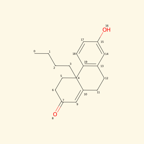 CCCCC12CCC(=O)C=C1CCc1cc(O)ccc12